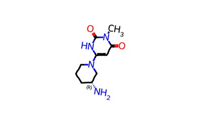 Cn1c(=O)cc(N2CCC[C@@H](N)C2)[nH]c1=O